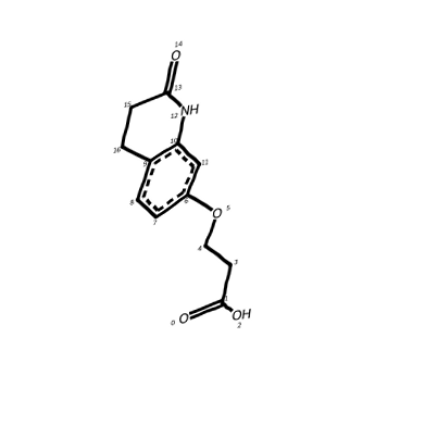 O=C(O)CCOc1ccc2c(c1)NC(=O)CC2